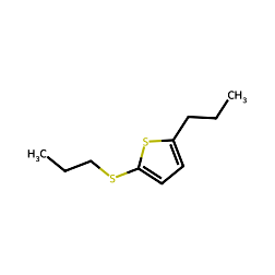 CCCSc1ccc(CCC)s1